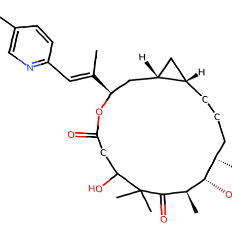 C/C(=C\c1ccc(C)cn1)[C@H]1C[C@@H]2C[C@@H]2CCC[C@H](C)[C@H](O)[C@@H](C)C(=O)C(C)(C)C(O)CC(=O)O1